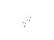 CC(C)(C)N=C=NCc1ccccc1